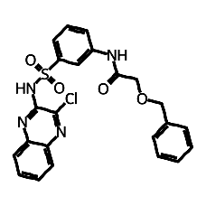 O=C(COCc1ccccc1)Nc1cccc(S(=O)(=O)Nc2nc3ccccc3nc2Cl)c1